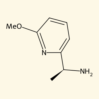 COc1cccc([C@H](C)N)n1